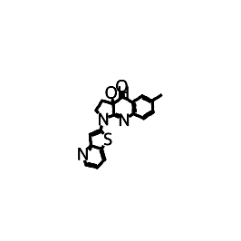 Cc1ccc2c(c1)C(=O)C1(O)CCN(c3cc4ncccc4s3)C1=N2